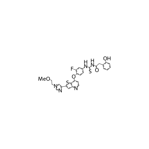 COCCn1cnc(-c2cc3nccc(Oc4ccc(NC(=S)NC(=O)Cc5ccccc5O)cc4F)c3s2)c1